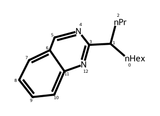 CCCCCCC(CCC)c1ncc2ccccc2n1